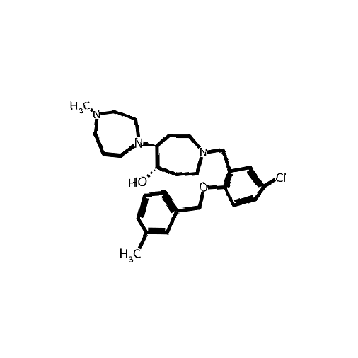 Cc1cccc(COc2ccc(Cl)cc2CN2CC[C@H](O)[C@@H](N3CCCN(C)CC3)CC2)c1